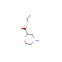 CCOC(=O)C1CN(P)CCO1